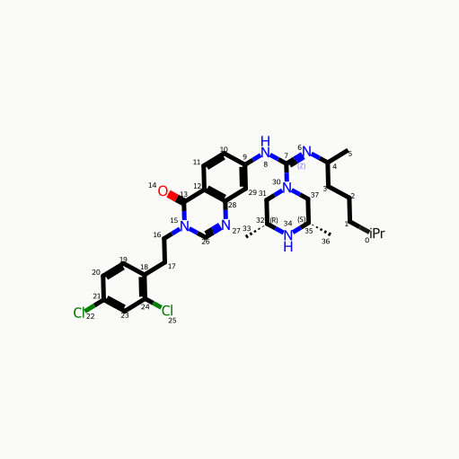 CC(C)CCCC(C)/N=C(/Nc1ccc2c(=O)n(CCc3ccc(Cl)cc3Cl)cnc2c1)N1C[C@@H](C)N[C@@H](C)C1